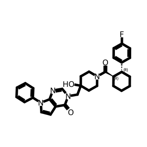 O=C([C@@H]1CCCC[C@H]1c1ccc(F)cc1)N1CCC(O)(Cn2cnc3c(ccn3-c3ccccc3)c2=O)CC1